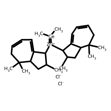 CC1CC2C(=CC=CCC2(C)C)[CH]1[Zr+2]([CH]1C2=CC=CCC(C)(C)C2CC1C)=[Ge]([CH3])[CH3].[Cl-].[Cl-]